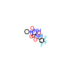 CCC1(NC(=O)c2cc(F)c(F)c(F)c2F)C(=O)NC(=O)N(C2CCCCC2)C1=O